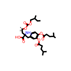 CCC(C)COC(=O)O[C@@H](C)CC(N)(Cc1ccc(OC(=O)CCC(C)C)c(OC(=O)CCC(C)C)c1)C(=O)O